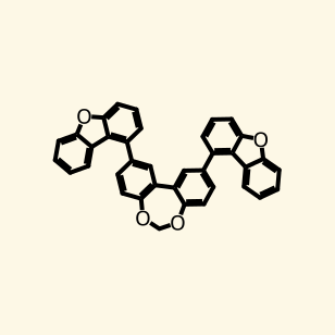 c1ccc2c(c1)oc1cccc(-c3ccc4c(c3)-c3cc(-c5cccc6oc7ccccc7c56)ccc3OCO4)c12